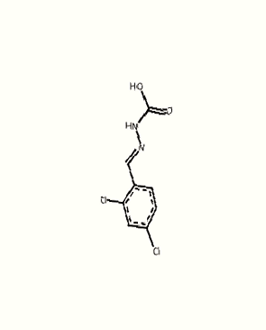 O=C(O)NN=Cc1ccc(Cl)cc1Cl